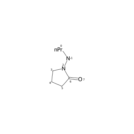 CCC[N]N1CCCC1=O